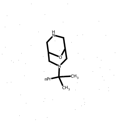 CCCC(C)(C)N1CC2CNCC(C1)O2